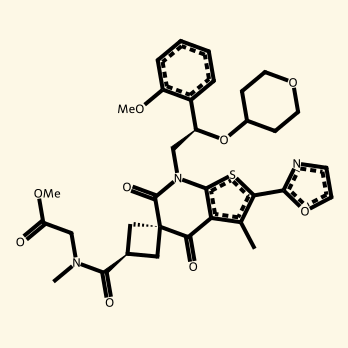 COC(=O)CN(C)C(=O)[C@H]1C[C@@]2(C1)C(=O)c1c(sc(-c3ncco3)c1C)N(C[C@H](OC1CCOCC1)c1ccccc1OC)C2=O